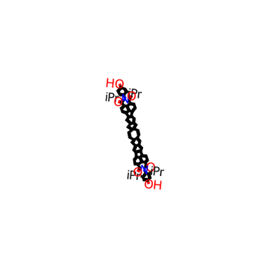 CC(C)c1cc(O)cc(C(C)C)c1-n1c(=O)c2ccc3c4cc5cc6ccc7cc8cc9c(cc8cc7ccc6cc5cc4c4ccc(c1=O)c2c34)c1ccc2c(=O)n(-c3c(C(C)C)cc(O)cc3C(C)C)c(=O)c3ccc9c1c32